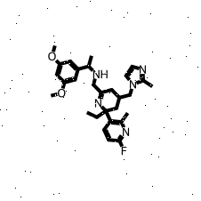 CCC1(c2ccc(F)nc2C)CC(Cn2ccnc2C)CC(CNC(C)c2cc(OC)cc(OC)c2)=N1